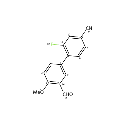 COc1ccc(-c2ccc(C#N)cc2F)cc1C=O